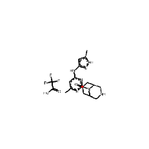 Cc1cc(Nc2cc(C)[nH]n2)nc(N2C3CNCC2CC(=O)C3)n1.O=C(O)C(F)(F)F